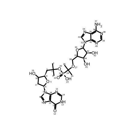 CC(C)(C[C@H]1O[C@@H](n2cnc3c(=O)[nH]cnc32)CC1O)OP(=O)(O)C(C)(C)OCC1OC(n2cnc3c(N)ncnc32)[C@@H](O)[C@H]1O